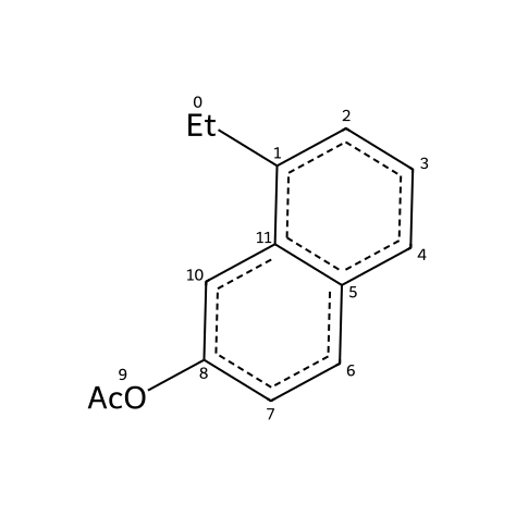 CCc1cccc2ccc(OC(C)=O)cc12